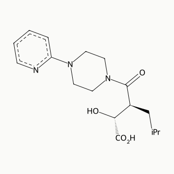 CC(C)C[C@H](C(=O)N1CCN(c2ccccn2)CC1)[C@@H](O)C(=O)O